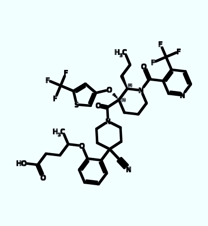 CCC[C@H]1N(C(=O)c2cnccc2C(F)(F)F)CCC[C@@]1(Oc1csc(C(F)(F)F)c1)C(=O)N1CCC(C#N)(c2ccccc2OC(C)CCC(=O)O)CC1